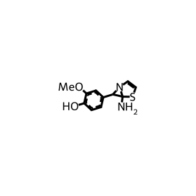 COc1cc(C2N3C=CSC23N)ccc1O